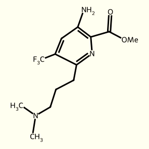 COC(=O)c1nc(CCCN(C)C)c(C(F)(F)F)cc1N